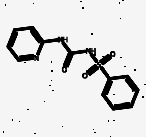 O=C(Nc1ccccn1)NS(=O)(=O)c1ccccc1